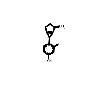 C=C1CCC2=C1C2c1ccc(C#N)cc1F